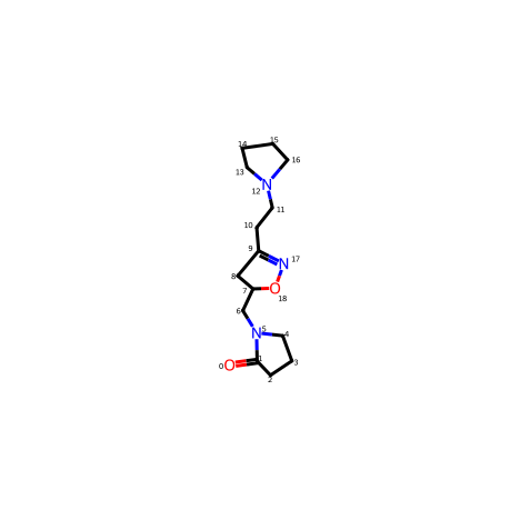 O=C1CCCN1CC1CC(CCN2CCCC2)=NO1